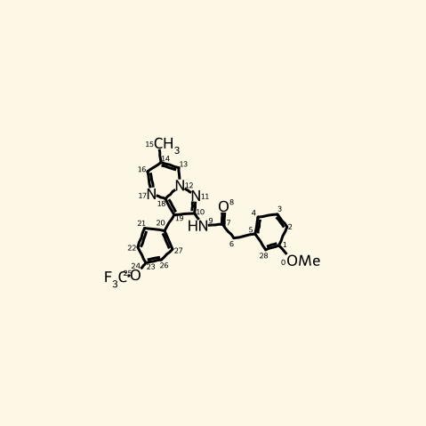 COc1cccc(CC(=O)Nc2nn3cc(C)cnc3c2-c2ccc(OC(F)(F)F)cc2)c1